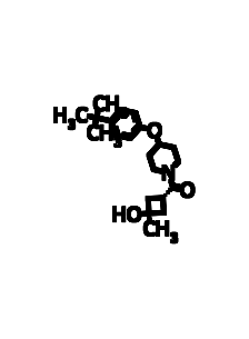 CC(C)(C)c1ccc(OC2CCN(C(=O)[C@H]3C[C@@](C)(O)C3)CC2)cc1